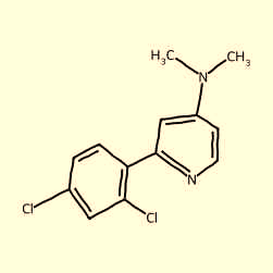 CN(C)c1ccnc(-c2ccc(Cl)cc2Cl)c1